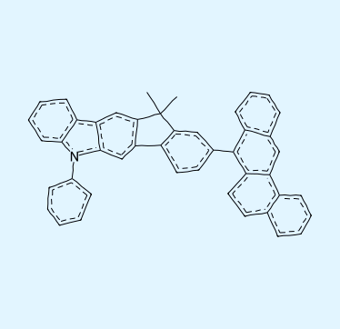 CC1(C)c2cc(-c3c4ccccc4cc4c3ccc3ccccc34)ccc2-c2cc3c(cc21)c1ccccc1n3-c1ccccc1